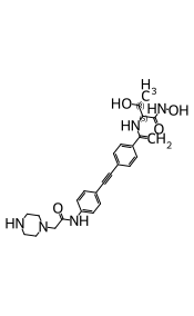 C=C(N[C@H](C(=O)NO)[C@@H](C)O)c1ccc(C#Cc2ccc(NC(=O)CN3CCNCC3)cc2)cc1